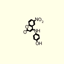 O=c1cc(Nc2ccc(O)cc2)c2cc([N+](=O)[O-])ccc2o1